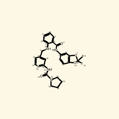 O=C(Nc1ccc2c(c1)OC(F)(F)O2)c1ccccc1NCc1ccnc(NC(=O)N2CCCC2)c1